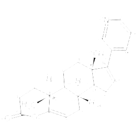 C[C@]12CCC(=O)OC1=CC[C@@H]1[C@@H]2CC[C@]2(C)C(c3cccnc3)=CC[C@@H]12